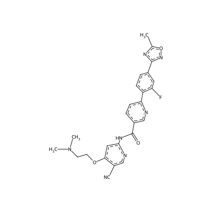 Cc1nc(-c2ccc(-c3ccc(C(=O)Nc4cc(OCCN(C)C)c(C#N)cn4)cn3)c(F)c2)no1